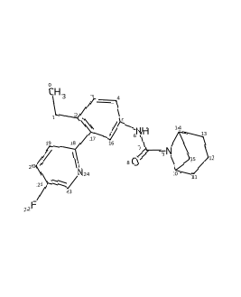 CCc1ccc(NC(=O)N2C3CCCC2C3)cc1-c1ccc(F)cn1